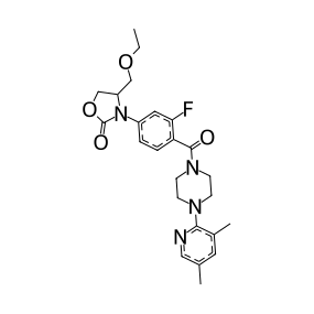 CCOCC1COC(=O)N1c1ccc(C(=O)N2CCN(c3ncc(C)cc3C)CC2)c(F)c1